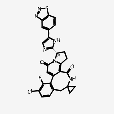 O=C1NC2(CC2)Cc2ccc(Cl)c(F)c2-c2cc(=O)n3c(c21)CC[C@H]3c1ncc(-c2ccc3snnc3c2)[nH]1